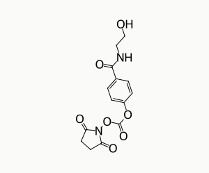 O=C(Oc1ccc(C(=O)NCCO)cc1)ON1C(=O)CCC1=O